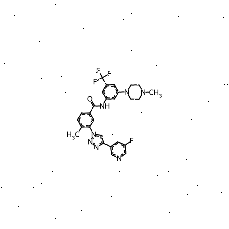 Cc1ccc(C(=O)Nc2cc(N3CCN(C)CC3)cc(C(F)(F)F)c2)cc1-n1cc(-c2cncc(F)c2)nn1